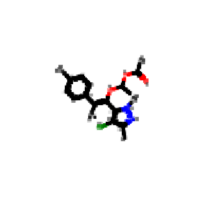 CCC(=O)OC(C)O/C(=C(/C#N)c1ccc(C(C)(C)C)cc1)c1c(Cl)c(C)nn1CC